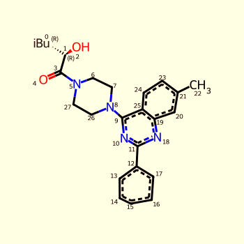 CC[C@@H](C)[C@@H](O)C(=O)N1CCN(c2nc(-c3ccccc3)nc3cc(C)ccc23)CC1